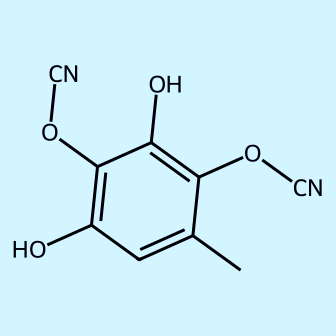 Cc1cc(O)c(OC#N)c(O)c1OC#N